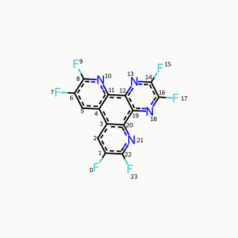 Fc1cc2c3cc(F)c(F)nc3c3nc(F)c(F)nc3c2nc1F